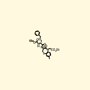 CCOC(=O)CN1C(=O)[C@H](NC(=O)[C@H](COCc2ccccc2)NC(=O)OC(C)(C)C)CSc2cc(C)ccc21